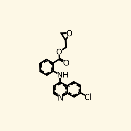 O=C(OCC1CO1)c1ccccc1Nc1ccnc2cc(Cl)ccc12